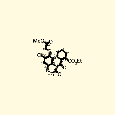 CCOC(=O)C1=C(C(=O)N(C(=O)CC)c2cc(SCC(=O)OC)c(Cl)cc2F)CCCC1